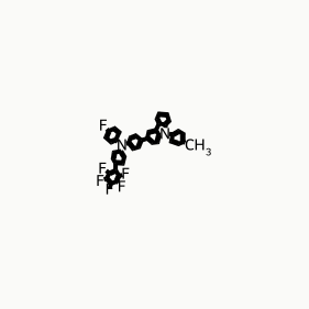 Cc1ccc(-n2c3ccccc3c3cc(-c4ccc(N(c5ccc(F)cc5)c5ccc(-c6c(F)c(F)c(F)c(F)c6F)cc5)cc4)ccc32)cc1